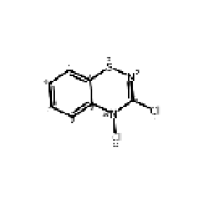 ClC1=NSc2ccccc2N1Cl